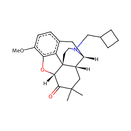 COc1ccc2c3c1O[C@H]1C(=O)C(C)(C)C[C@H]4[C@@H](C2)N(CC2CCC2)CC[C@]314